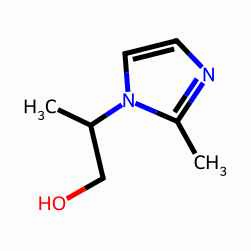 Cc1nccn1C(C)CO